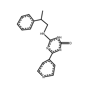 CC(CNc1nc(-c2ccncc2)nc(=O)[nH]1)c1ccccc1